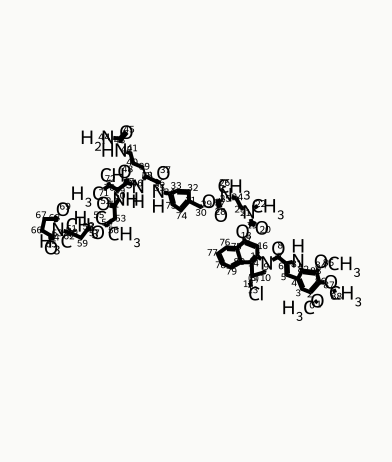 COc1cc2cc(C(=O)N3C[C@@H](CCl)c4c3cc(OC(=O)N(C)CCN(C)C(=O)OCc3ccc(NC(=O)[C@H](CCCNC(N)=O)NC(=O)C(NC(=O)CC(C)(C)OCCC(C)(C)N5C(=O)CCC5=O)C(C)C)cc3)c3ccccc43)[nH]c2c(OC)c1OC